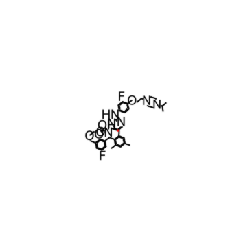 Cc1cc(C)c(C(c2cc(F)cc3c2OCOC3)N(C(=O)O)c2ccnc(Nc3ccc(OCCN4CCN(C(C)C)CC4)c(F)c3)n2)c(C)c1